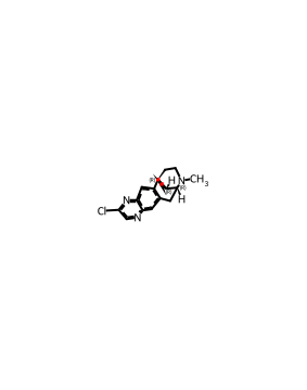 CN1CC[C@]23CCCC[C@H]2[C@H]1Cc1cc2ncc(Cl)nc2cc13